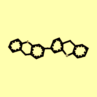 c1ccc2c(c1)Cc1ccc(-c3ccc4c(c3)Sc3ccccc3C4)cc1O2